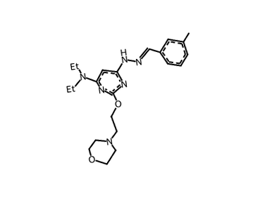 CCN(CC)c1cc(NN=Cc2cccc(C)c2)nc(OCCN2CCOCC2)n1